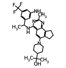 Cc1nc(NC(C)c2cc(N)cc(C(F)(F)F)c2)c2cc(N3CCC(C(C)(C)O)CC3)c3c(c2n1)CCC3